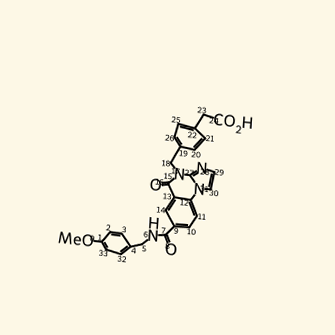 COc1ccc(CNC(=O)c2ccc3c(c2)c(=O)n(Cc2ccc(CC(=O)O)cc2)c2nccn32)cc1